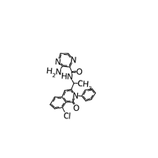 CC(NC(=O)c1nccnc1N)c1cc2cccc(Cl)c2c(=O)n1-c1ccccc1